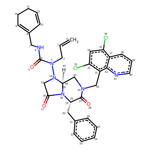 C=CCN(C(=O)NCC1=CCCC=C1)N1CC(=O)N2[C@@H](Cc3ccccc3)C(=O)N(Cc3c(Cl)cc(Cl)c4cccnc34)C[C@@H]21